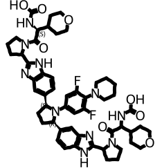 O=C(O)NC(C(=O)N1CCCC1c1nc2cc([C@H]3CC[C@@H](c4ccc5[nH]c(C6CCCN6C(=O)[C@@H](NC(=O)O)C6CCOCC6)nc5c4)N3c3cc(F)c(N4CCCCC4)c(F)c3)ccc2[nH]1)C1CCOCC1